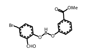 COC(=O)c1cccc(OBOc2ccc(Br)cc2C=O)c1